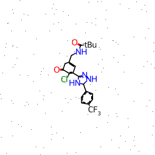 CC(C)(C)C(=O)NCC1=CC(C2=NNC(c3ccc(C(F)(F)F)cc3)N2)=C(Cl)C(=O)C1